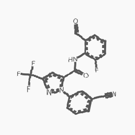 N#Cc1cccc(-n2nc(C(F)(F)F)cc2C(=O)Nc2c(F)cccc2C=O)c1